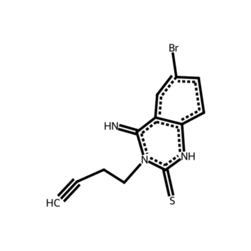 C#CCCn1c(=S)[nH]c2ccc(Br)cc2c1=N